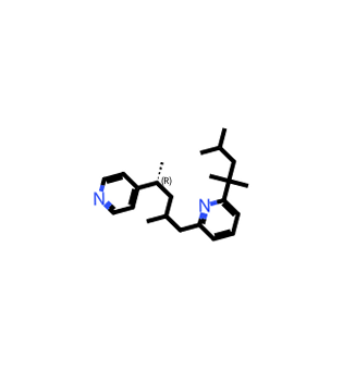 CC(C)CC(C)(C)c1cccc(CC(C)C[C@@H](C)c2ccncc2)n1